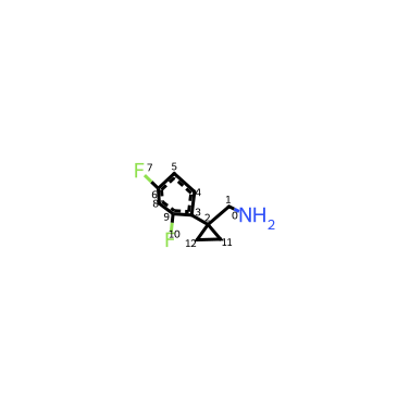 NCC1(c2ccc(F)cc2F)CC1